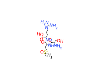 C[S+]([O-])CCC(NC(=O)C(N)CO)C(=O)NC(CCCN=C(N)N)C(=O)O